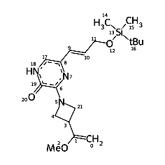 C=C(OC)C1CN(c2nc(/C=C/CO[Si](C)(C)C(C)(C)C)c[nH]c2=O)C1